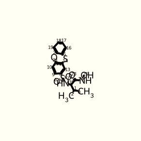 CC(C)C(NS(=O)(=O)c1ccc2c(c1)Sc1ccccc1O2)C(=O)NO